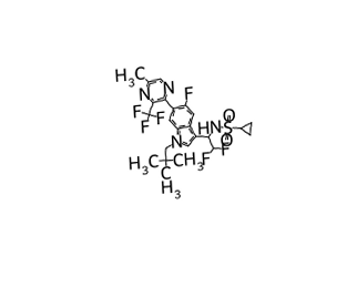 Cc1cnc(-c2cc3c(cc2F)c(C(NS(=O)(=O)C2CC2)C(F)F)cn3CC(C)(C)C)c(C(F)(F)F)n1